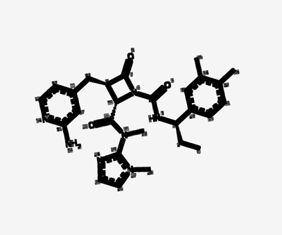 CC[C@@H](NC(=O)N1C(=O)[C@H](Cc2ccnc(N)c2)[C@H]1C(=O)N(C)c1nccn1C)c1ccc(C)c(C)c1